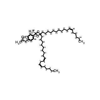 CCCCC/C=C\C/C=C\CCCCCCCCC1(CCCCCCCCCC/C=C\CCCCC)OC(C)(c2ccc(CN(C)C)cc2)O1